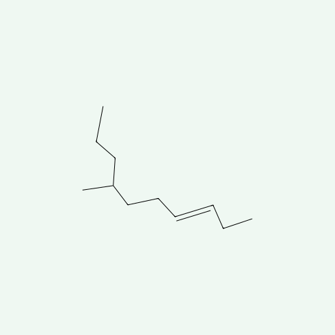 CCC=CCCC(C)CCC